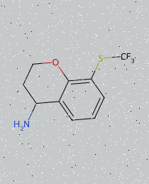 NC1CCOc2c(SC(F)(F)F)cccc21